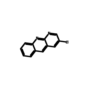 Clc1cnc2nc3ccccc3cc2c1